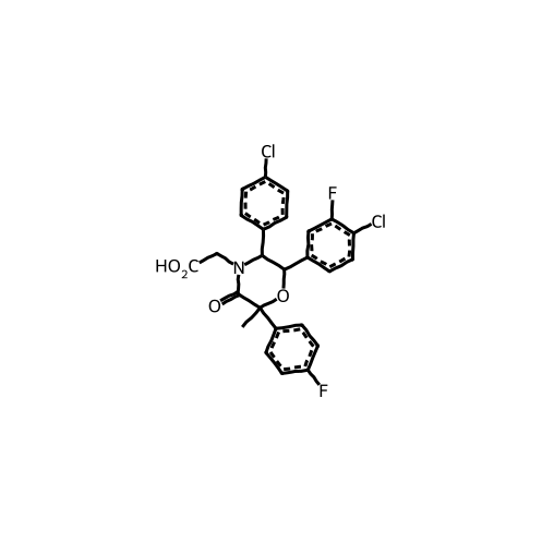 CC1(c2ccc(F)cc2)OC(c2ccc(Cl)c(F)c2)C(c2ccc(Cl)cc2)N(CC(=O)O)C1=O